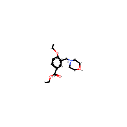 CCOC(=O)c1ccc(OCC)c(CN2CCOCC2)c1